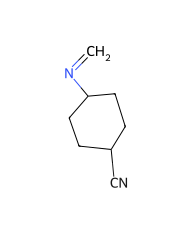 C=NC1CCC(C#N)CC1